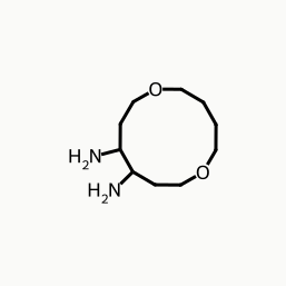 NC1CCOCCCCOCCC1N